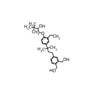 CCc1cc(C(C)(C)CCc2ccc(CO)c(CO)c2)ccc1OCC(O)C(C)(C)C